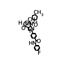 CC(C)N(c1nn(-c2ccc(C(=O)Nc3ccc(F)cc3)cc2)cc1C(=O)O)C(=O)[C@H]1CC[C@H](C)CC1